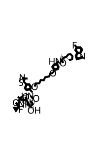 Cc1ncsc1-c1ccc(CNC(=O)[C@@H]2C[C@@H](O)CN2C(=O)[C@@H](NC(=O)C2(F)CC2)C(C)(C)C)c(OCCCCCCCOc2ccc(NC(=O)[C@H](C)[C@H]3CC[C@@H](c4ccnc5ccc(F)cc54)CC3)cc2)c1